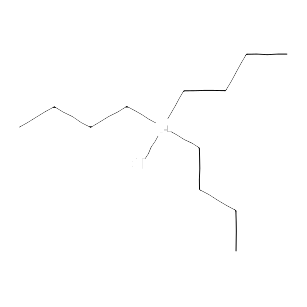 CCCC[Si](Cl)(CCCC)CCCC